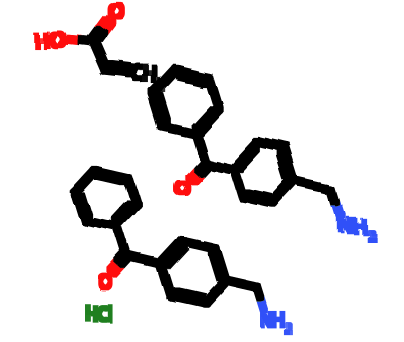 C=CC(=O)O.Cl.NCc1ccc(C(=O)c2ccccc2)cc1.NCc1ccc(C(=O)c2ccccc2)cc1